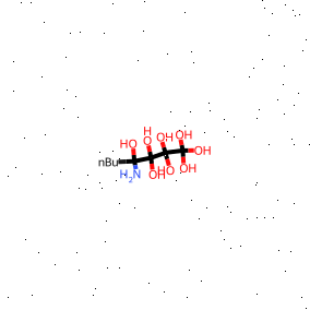 CCCCC(N)(O)C(O)(O)C(O)(O)C(O)(O)O